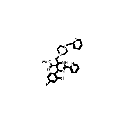 COC(=O)C1=C(CN2CCN(Cc3ccccn3)CC2)NC(c2ccccn2)=NC1c1ccc(F)cc1Cl